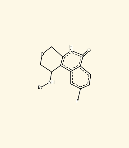 CCNC1COCc2[nH]c(=O)c3ccc(F)cc3c21